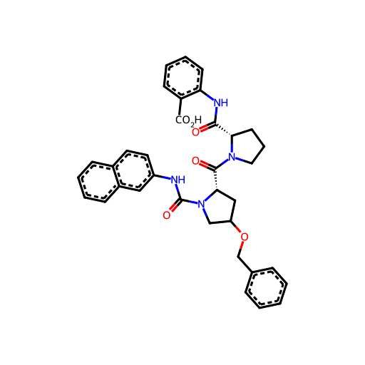 O=C(O)c1ccccc1NC(=O)[C@@H]1CCCN1C(=O)[C@@H]1CC(OCc2ccccc2)CN1C(=O)Nc1ccc2ccccc2c1